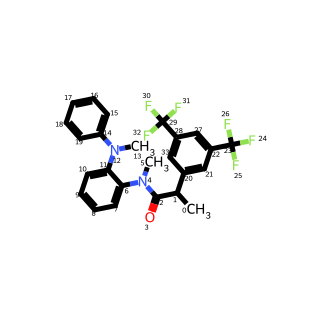 CC(C(=O)N(C)c1ccccc1N(C)c1ccccc1)c1cc(C(F)(F)F)cc(C(F)(F)F)c1